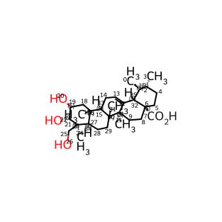 C[C@H]1[C@H](C)CC[C@]2(C(=O)O)CC[C@]3(C)C(=CC[C@@H]4[C@@]5(C)C[C@H](O)[C@@H](O)[C@](C)(CO)[C@@H]5CC[C@]43C)[C@H]12